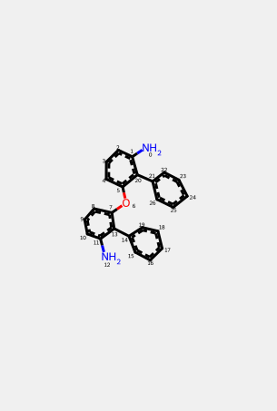 Nc1cccc(Oc2cccc(N)c2-c2ccccc2)c1-c1ccccc1